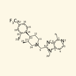 Cc1nccc2c1nc(CN1CC[C@H](c3ccc(C(F)(F)F)cc3F)[C@H](C)C1)n2C